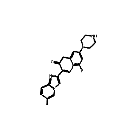 Cc1ccc2nc(C3=Cc4c(F)cc(N5CCNCC5)cc4CC3=O)cn2c1